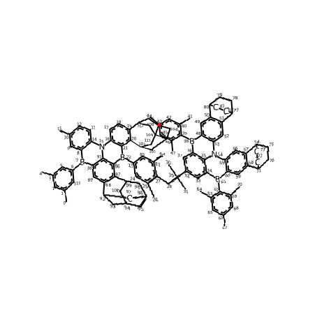 Cc1cc(C)cc(B2c3cc(C)ccc3N3c4ccc5c(c4B(c4cc(C)c(CC(C)(C)c6cc7c8c(c6)B(c6c(C)cc(C)cc6C)c6cc9c(cc6N8c6cc8c(cc6B7c6c(C)cc(C)cc6C)C6CCC8CC6)C6CCC9CC6)c(C)c4)c4c6c(cc2c43)C2CC3CC(C2)CC6C3)C2CC3CC4CC5CC43C2)c1